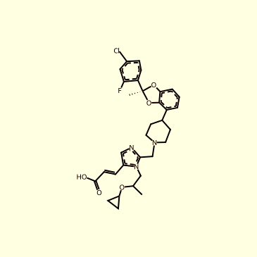 CC(Cn1c(/C=C/C(=O)O)cnc1CN1CCC(c2cccc3c2O[C@@](C)(c2ccc(Cl)cc2F)O3)CC1)OC1CC1